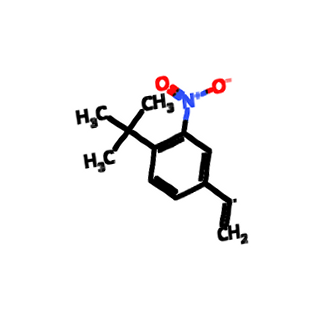 C=[C]c1ccc(C(C)(C)C)c([N+](=O)[O-])c1